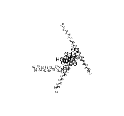 CCCCCCCCCCCCCC(=O)O[C@H](CCCCCCCCCCC)CC(=O)N[C@@H](C=O)[C@@H](OC(=O)C[C@@H](CCCCCCCCCCC)OC(=O)CCCCCCCCCCCCC)[C@H](OP(=O)(O)O)[C@H](O)CO